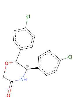 O=C1COC(c2ccc(Cl)cc2)[C@@H](c2ccc(Cl)cc2)N1